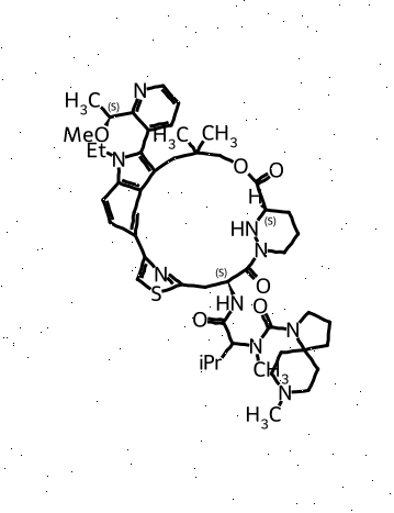 CCn1c(-c2cccnc2[C@H](C)OC)c2c3cc(ccc31)-c1csc(n1)C[C@H](NC(=O)C(C(C)C)N(C)C(=O)N1CCCC13CCN(C)CC3)C(=O)N1CCC[C@H](N1)C(=O)OCC(C)(C)C2